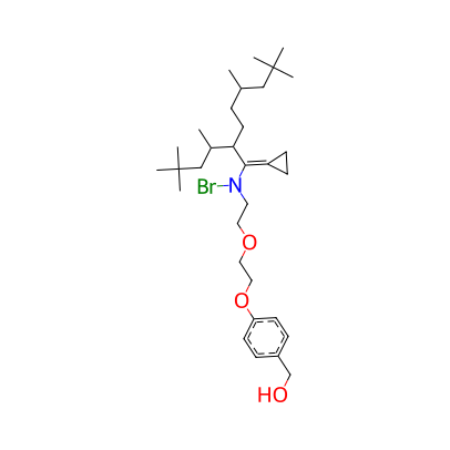 CC(CCC(C(=C1CC1)N(Br)CCOCCOc1ccc(CO)cc1)C(C)CC(C)(C)C)CC(C)(C)C